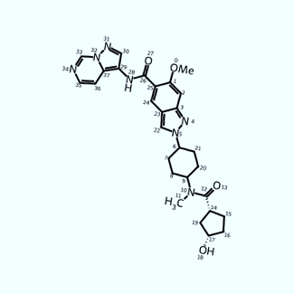 COc1cc2nn(C3CCC(N(C)C(=O)[C@@H]4CC[C@H](O)C4)CC3)cc2cc1C(=O)Nc1cnn2cnccc12